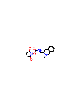 CN1Cc2ccccc2CC1CNC(=O)ON1C(=O)CCC1=O